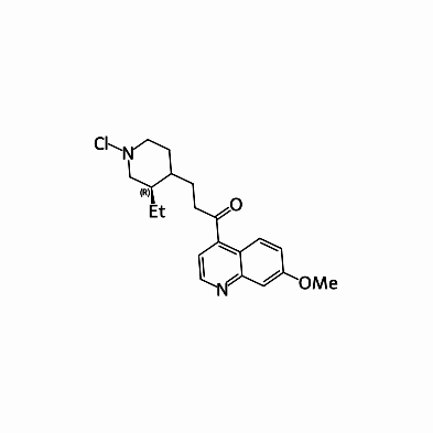 CC[C@H]1CN(Cl)CCC1CCC(=O)c1ccnc2cc(OC)ccc12